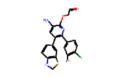 Cc1cc(-c2nc(OCC=O)c(N)cc2-c2ccc3c(c2)SCN3)ccc1F